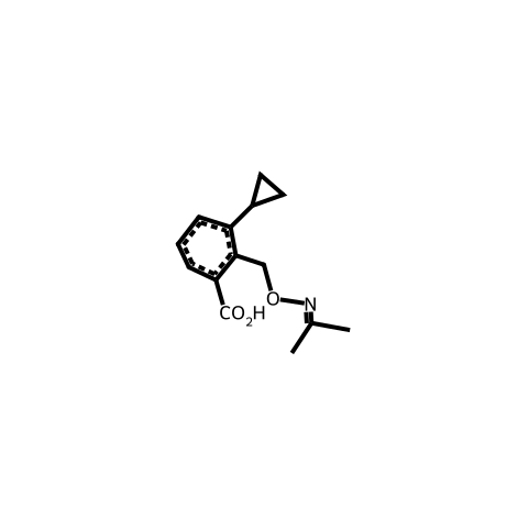 CC(C)=NOCc1c(C(=O)O)cccc1C1CC1